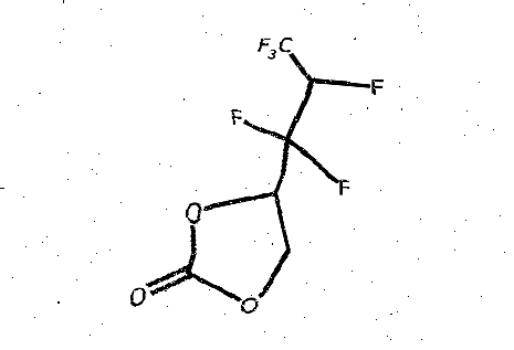 O=C1OCC(C(F)(F)C(F)C(F)(F)F)O1